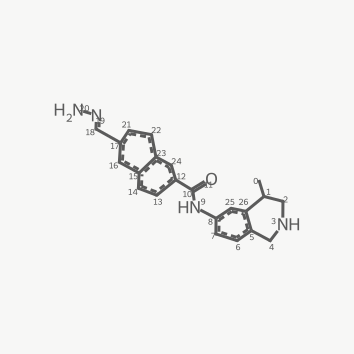 CC1CNCc2ccc(NC(=O)c3ccc4cc(C=NN)ccc4c3)cc21